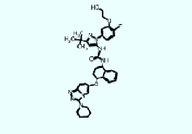 CC(C)(C)c1cc(NC(=O)N[C@H]2CC[C@@H](Oc3ccc4nnc(N5CCCCC5)n4c3)c3ccccc32)n(-c2ccc(F)c(OCCO)c2)n1